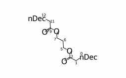 CCCCCCCCCCCC(=O)OCCCOC(=O)CCCCCCCCCCC